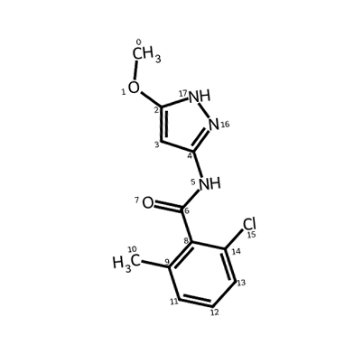 COc1cc(NC(=O)c2c(C)cccc2Cl)n[nH]1